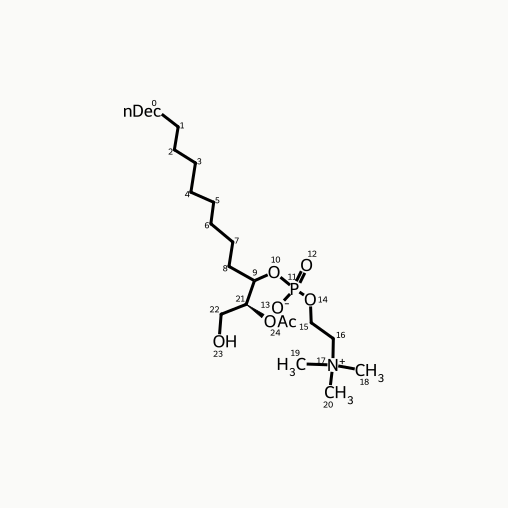 CCCCCCCCCCCCCCCCCCC(OP(=O)([O-])OCC[N+](C)(C)C)[C@H](CO)OC(C)=O